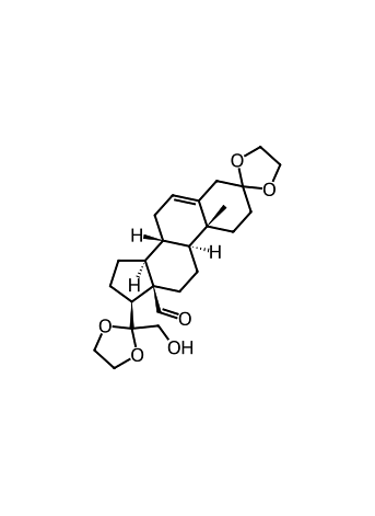 C[C@]12CCC3(CC1=CC[C@H]1[C@@H]4CC[C@H](C5(CO)OCCO5)[C@@]4(C=O)CC[C@@H]12)OCCO3